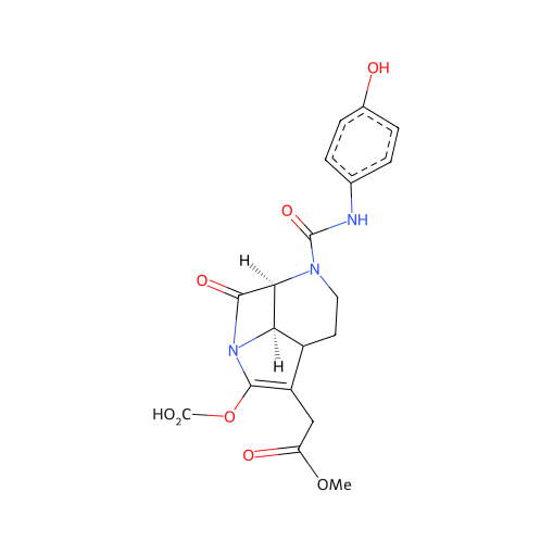 COC(=O)CC1=C(OC(=O)O)N2C(=O)[C@@H]3[C@H]2C1CCN3C(=O)Nc1ccc(O)cc1